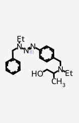 CCN(Cc1ccccc1)/N=N/c1ccc(CN(CC)C(C)CO)cc1